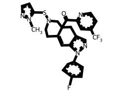 Cn1nccc1SN1CCC2=Cc3c(cnn3-c3ccc(F)cc3)CC2(C(=O)c2cc(C(F)(F)F)ccn2)C1